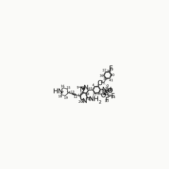 C[C@H](Oc1cc(-c2nn(C)c3c(C#CC4CCNCC4)cnc(N)c23)ccc1NS(=O)(=O)C(F)F)c1ccc(F)cc1